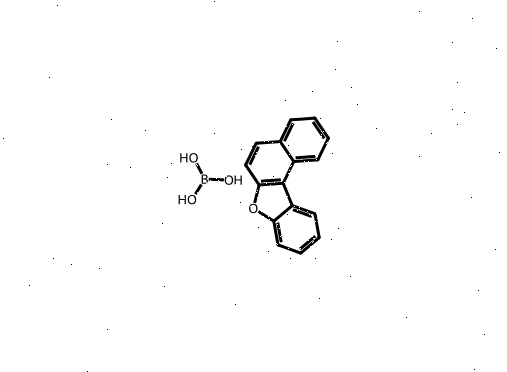 OB(O)O.c1ccc2c(c1)ccc1oc3ccccc3c12